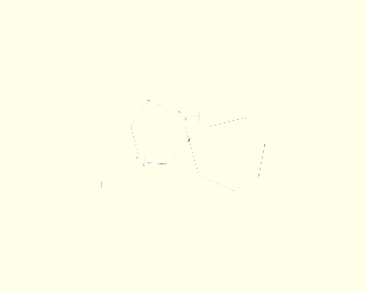 CC(C)N1CCNC2(CCCCCC2)C1